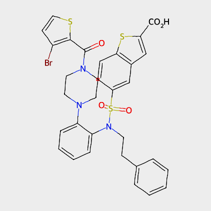 O=C(O)c1cc2cc(S(=O)(=O)N(CCc3ccccc3)c3ccccc3N3CCN(C(=O)c4sccc4Br)CC3)ccc2s1